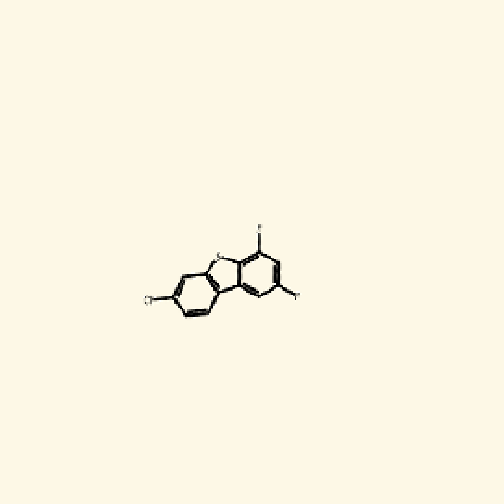 Fc1cc(F)c2sc3cc(Cl)ccc3c2c1